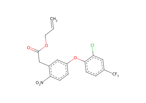 C=CCOC(=O)Cc1cc(Oc2ccc(C(F)(F)F)cc2Cl)ccc1[N+](=O)[O-]